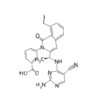 C[C@H](Nc1nc(N)ncc1C#N)c1cc2cccc(CI)c2c(=O)n1-c1cccc(C(=O)O)c1